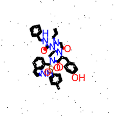 C=CCN1CC(=O)N2C(Cc3ccc(O)cc3)C(=O)N(C(c3cccc4cc[nH]c34)S(=O)(=O)c3ccc(C)cc3)CC2N1C(=O)NCc1ccccc1